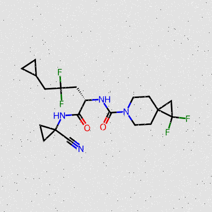 N#CC1(NC(=O)[C@H](CC(F)(F)CC2CC2)NC(=O)N2CCC3(CC2)CC3(F)F)CC1